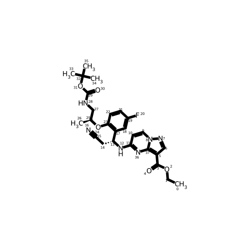 CCOC(=O)c1cnn2ccc(N[C@H](CC#N)c3cc(F)ccc3O[C@@H](C)CNC(=O)OC(C)(C)C)nc12